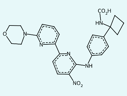 O=C(O)NC1(c2ccc(Nc3nc(-c4cccc(N5CCOCC5)n4)ccc3[N+](=O)[O-])cc2)CCC1